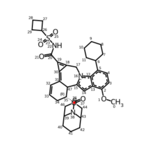 COc1ccc(C2CCCCC2)c2c1cc1n2CC2=C(C(=O)NS(=O)(=O)C3CCC3)C2=C2C=CC[C@@H](C(=O)N3C4CCCC3COC4)C21